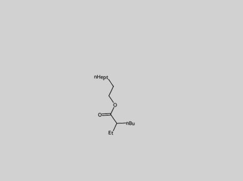 CCCCCCCCCOC(=O)C(CC)CCCC